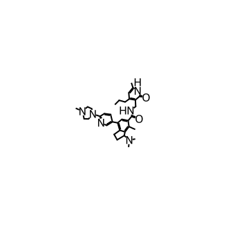 CCCc1cc(C)[nH]c(=O)c1CNC(=O)c1cc(-c2ccc(N3CCN(C)CC3)nc2)c2c(c1C)C(N(C)C)CC2